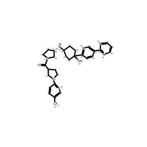 O=C(C1CCN(c2ccc(C(F)(F)F)cn2)C1)N1CC[C@H](NC2CCC(O)(c3ccc(-c4ncccn4)cn3)CC2)C1